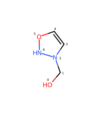 OCN1C=CON1